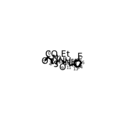 CCOC(=O)C(=O)c1csc(NC(=O)NCc2cccc(F)c2)n1